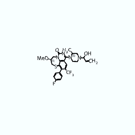 C=CC(O)N1CCN(c2nc(=O)n3c4c(c(-c5ccc(F)cc5)c(C(F)(F)F)cc24)SC[C@@H](OC)C3)[C@@H](C)C1